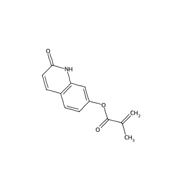 C=C(C)C(=O)Oc1ccc2ccc(=O)[nH]c2c1